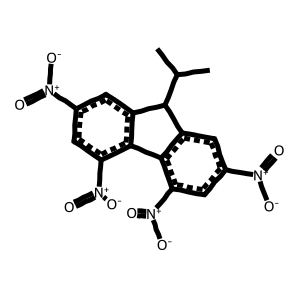 CC(C)C1c2cc([N+](=O)[O-])cc([N+](=O)[O-])c2-c2c1cc([N+](=O)[O-])cc2[N+](=O)[O-]